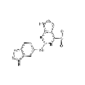 CS(=O)(=O)c1nc(Nc2ccc3cn[nH]c3c2)nc2[nH]ccc12